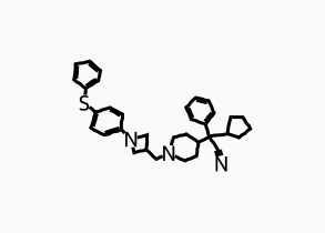 N#CC(c1ccccc1)(C1CCCC1)C1CCN(CC2CN(c3ccc(Sc4ccccc4)cc3)C2)CC1